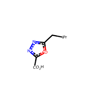 CC(C)Cc1nnc(C(=O)O)o1